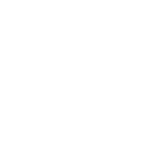 Fc1ccc(Cl)c(CN2CCNc3nnc(-c4ccc(N5CCOCC5)cc4)cc32)c1Cl